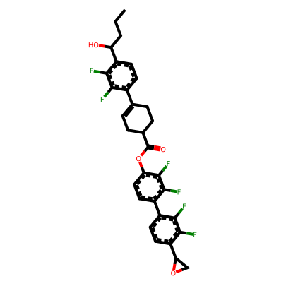 CCCC(O)c1ccc(C2=CCC(C(=O)Oc3ccc(-c4ccc(C5CO5)c(F)c4F)c(F)c3F)CC2)c(F)c1F